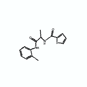 Cc1ccccc1NC(=O)C(C)NC(=O)c1cccs1